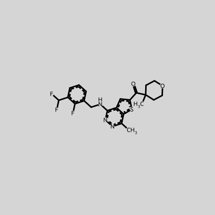 Cc1nnc(NCc2cccc(C(F)F)c2F)c2cc(C(=O)C3(C)CCOCC3)sc12